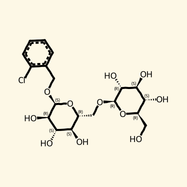 OC[C@H]1O[C@@H](OC[C@H]2O[C@H](OCc3ccccc3Cl)[C@H](O)[C@@H](O)[C@@H]2O)[C@H](O)[C@@H](O)[C@@H]1O